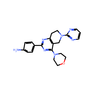 Nc1ccc(-c2nc3c(c(N4CCOCC4)n2)CN(c2ncccn2)CC3)cc1